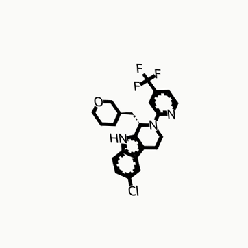 FC(F)(F)c1ccnc(N2CCc3c([nH]c4ccc(Cl)cc34)[C@@H]2C[C@H]2CCCOC2)c1